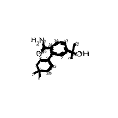 CC1(C)CC=C(c2cc(C(C)(C)O)ccc2C(N)=O)CC1